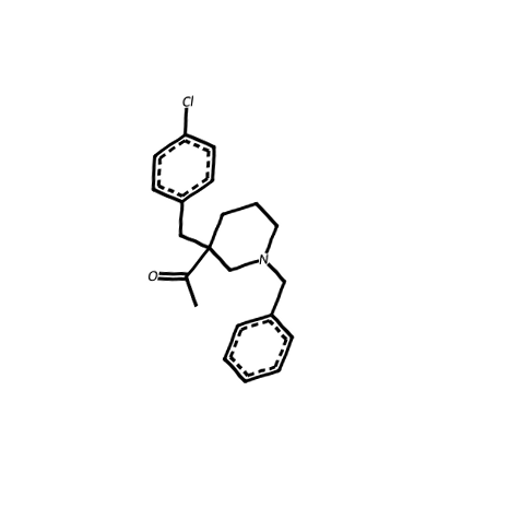 CC(=O)C1(Cc2ccc(Cl)cc2)CCCN(Cc2ccccc2)C1